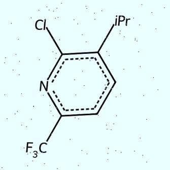 CC(C)c1ccc(C(F)(F)F)nc1Cl